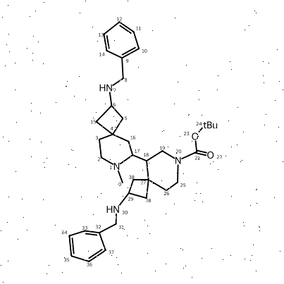 CN1CCC2(CC(NCc3ccccc3)C2)CC1C1CN(C(=O)OC(C)(C)C)CCC12CC(NCc1ccccc1)C2